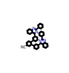 N#Cc1ccc(-c2cccc(-c3nc(-c4ccccc4)nc4ccccc34)c2)c(-c2cccc(-c3nc(-c4ccccc4)nc4ccccc34)c2)c1